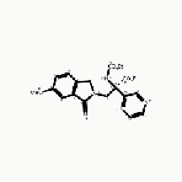 CCOC(=O)N[C@@](CN1Cc2ccc(OC)cc2C1=O)(C(=O)OCC)c1cnccn1